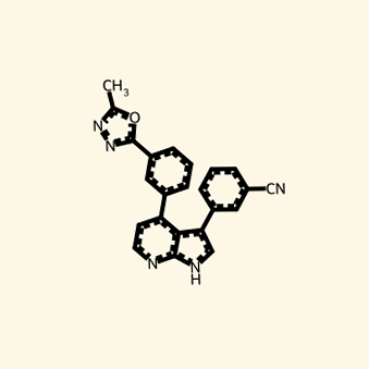 Cc1nnc(-c2cccc(-c3ccnc4[nH]cc(-c5cccc(C#N)c5)c34)c2)o1